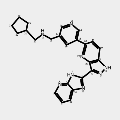 c1cnc2[nH]c(-c3n[nH]c4ccc(-c5cncc(CNCC6CCCC6)c5)nc34)nc2c1